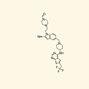 N#Cc1cc2cc(CN3CCC(Nc4ncnc5sc(CC(F)(F)F)cc45)CC3)ccc2n1CCN1CCN(C=O)CC1